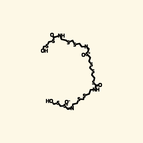 O=C(NCCSCSCC/N=C\[S+]([O-])CSCO)SCCSCSCC[S+]([O-])/C=N\CCSCSCCNC(=O)SCSCO